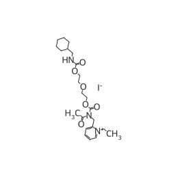 CC[n+]1ccccc1CN(C(C)=O)C(=O)OCCOCCOC(=O)NCC1CCCCC1.[I-]